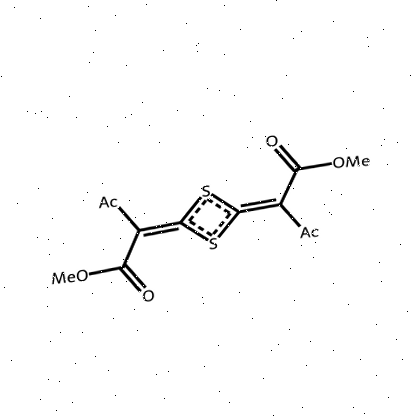 COC(=O)C(C(C)=O)=c1sc(=C(C(C)=O)C(=O)OC)s1